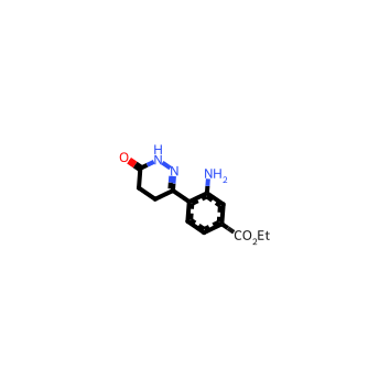 CCOC(=O)c1ccc(C2=NNC(=O)CC2)c(N)c1